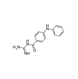 N=C(N)NC(=O)c1ccc(Nc2cc[c]cc2)cc1